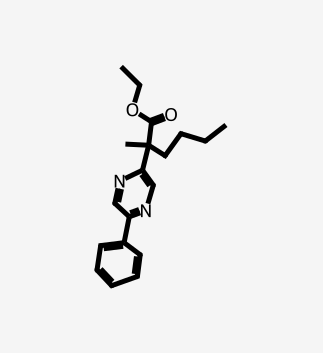 CCCCC(C)(C(=O)OCC)c1cnc(-c2ccccc2)cn1